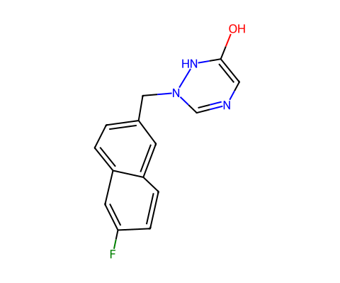 OC1=CN=CN(Cc2ccc3cc(F)ccc3c2)N1